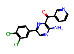 Nc1ncc(-c2ccc(Cl)c(Cl)c2)nc1C(=O)c1cccnc1